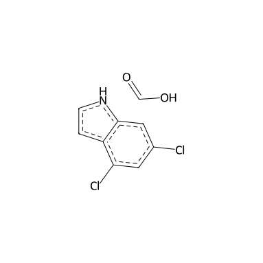 Clc1cc(Cl)c2cc[nH]c2c1.O=CO